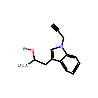 C#CCn1cc(CC(OC(C)C)C(=O)OCC)c2ccccc21